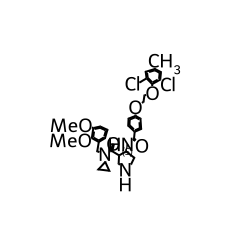 COc1cccc(CN(C(=O)C2CNCC[C@@H]2NC(=O)c2ccc(OCCOc3c(Cl)cc(C)cc3Cl)cc2)C2CC2)c1OC